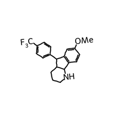 COc1ccc2c(c1)C(c1ccc(C(F)(F)F)cc1)C1CCCNC21